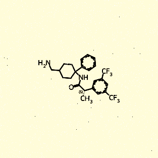 C[C@H](C(=O)NC1(c2ccccc2)CCC(CN)CC1)c1cc(C(F)(F)F)cc(C(F)(F)F)c1